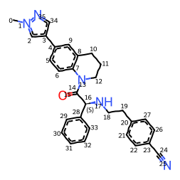 Cn1cc(-c2ccc3c(c2)CCCN3C(=O)[C@@H](NCCc2ccc(C#N)cc2)c2ccccc2)cn1